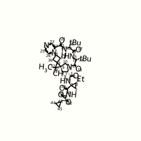 CC[C@@H]1C[C@]1(NC(=O)[C@@H]1C[C@@]2(CN1C(=O)[C@@H](NC(=O)[C@@H](NC(=O)c1cnccn1)C(C)(C)C)C(C)(C)C)C(C)(C)C21CCC1)C(=O)NS(=O)(=O)C1CC1